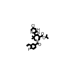 C=Cc1cc(C(=O)N2C=C(C(=O)OC(C)C)c3[nH]c4cc(Cl)cnc4c3C(C)(C)C2)ccc1F